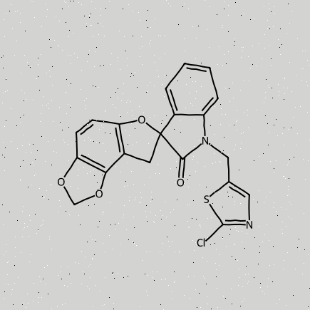 O=C1N(Cc2cnc(Cl)s2)c2ccccc2C12Cc1c(ccc3c1OCO3)O2